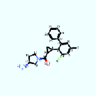 CC1=CC(F)C(C2CC2C(=O)N2CCC(N)C2)C(c2ccccc2)=C1